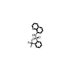 O=S(=O)(Nc1cccc2cccnc12)c1ccccc1C(F)(F)F